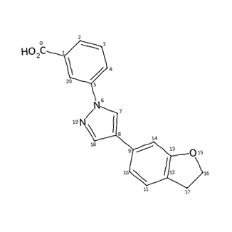 O=C(O)c1cccc(-n2cc(-c3ccc4c(c3)OCC4)cn2)c1